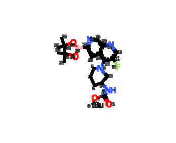 CC(C)(C)OC(=O)NC1CCCN(c2c(F)cnc3cnc(B4OC(C)(C)C(C)(C)O4)cc23)C1